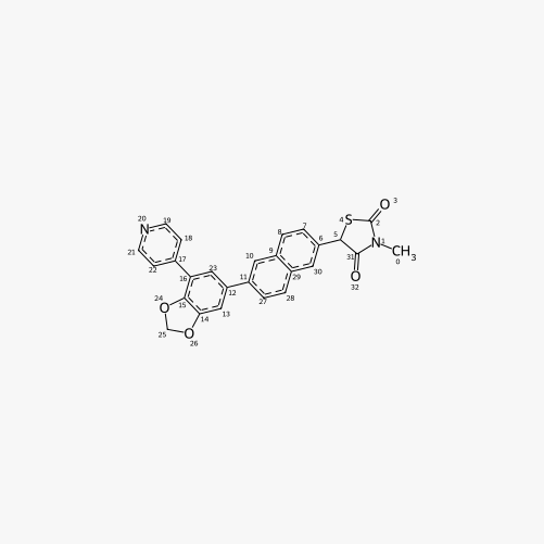 CN1C(=O)SC(c2ccc3cc(-c4cc5c(c(-c6ccncc6)c4)OCO5)ccc3c2)C1=O